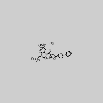 CCCNC(CC(=O)N1CCN(c2ccncc2)CC1)C(=O)N1CCN(CC(=O)O)C(=O)C1CC(=O)OC.Cl